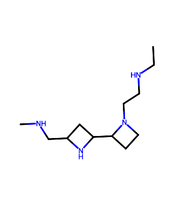 CCNCCN1CCC1C1CC(CNC)N1